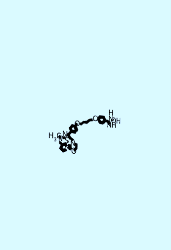 CN(Cc1cccnc1)c1nc(-c2ccc(OCCCCCOc3ccc(C(=N)NO)cc3)cc2)c(CN2CCOCC2)s1